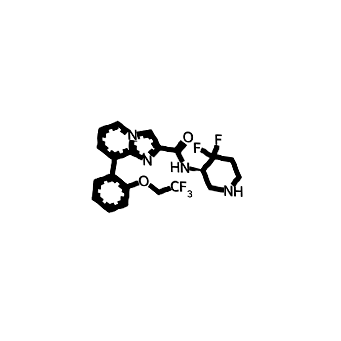 O=C(N[C@@H]1CNCCC1(F)F)c1cn2cccc(-c3ccccc3OCC(F)(F)F)c2n1